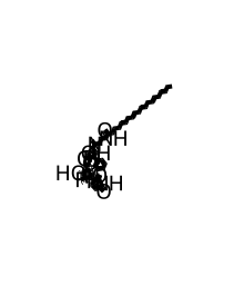 CCC=CCC=CCC=CCC=CCC=CCCCC(=O)NCCN(C)CCN(c1ccccc1)P(=O)(O)OC[C@H]1O[C@@H](n2ccc(=O)[nH]c2=O)[C@](C)(F)[C@@H]1O